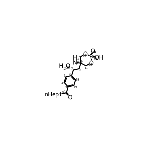 CCCCCCCC(=O)c1ccc(CCC2(N)COP(=O)(O)OC2)cc1.O